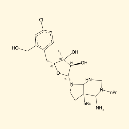 CCCCC12CCN([C@@H]3O[C@H](Cc4ccc(Cl)cc4CO)[C@@](C)(O)[C@H]3O)C1NCN(CCC)C2N